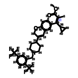 COC(=O)/C(C)=C(\c1ccc2c(c1)C=C(C1CCN(Cc3cc(C(F)(F)F)ccc3C(F)(F)F)CC1)CO2)C1CC1